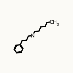 CCCCCC[N]CCCc1ccccc1